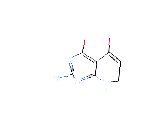 Nc1nc(O)c2c(n1)NCC=C2I